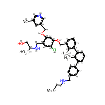 CSCCNCc1ccc(-c2cccc(-c3cccc(COc4cc(OCc5cncc(C#N)c5)c(CNC(CO)C(=O)O)cc4Cl)c3C)c2C)cc1